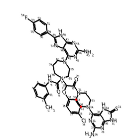 Cc1cccc(NC(=O)[N+]2(C(Oc3ccc(Cl)cc3)C(=O)N3CCN(c4nc(N)nc5[nH]c(=S)[nH]c45)CC3)CCCN(c3nc(N)nc4[nH]c(-c5ccc(F)cc5)nc34)CC2)c1